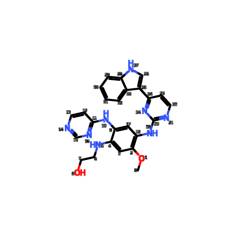 COc1cc(NCCO)c(Nc2ccncn2)cc1Nc1nccc(-c2c[nH]c3ccccc23)n1